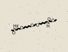 CCOCC(=O)NCCCCCOCCOCCCCCOCC(F)CNC(C)=O